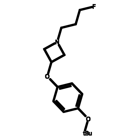 CC(C)(C)Oc1ccc(OC2CN(CCCF)C2)cc1